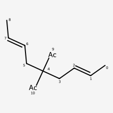 C/C=C/CC(C/C=C/C)(C(C)=O)C(C)=O